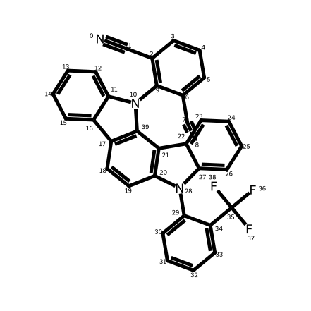 N#Cc1cccc(C#N)c1-n1c2ccccc2c2ccc3c(c4ccccc4n3-c3ccccc3C(F)(F)F)c21